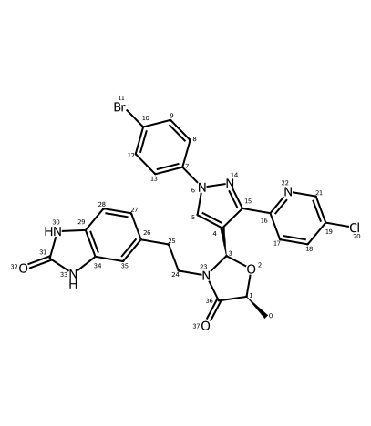 C[C@@H]1O[C@H](c2cn(-c3ccc(Br)cc3)nc2-c2ccc(Cl)cn2)N(CCc2ccc3[nH]c(=O)[nH]c3c2)C1=O